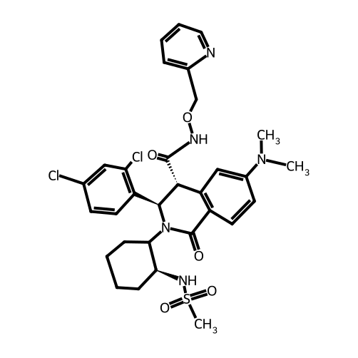 CN(C)c1ccc2c(c1)[C@@H](C(=O)NOCc1ccccn1)[C@H](c1ccc(Cl)cc1Cl)N(C1CCCC[C@@H]1NS(C)(=O)=O)C2=O